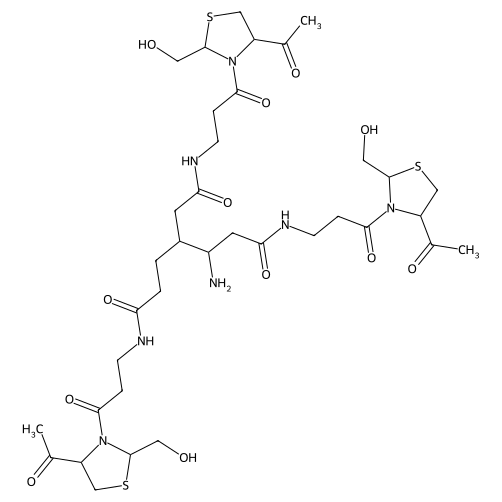 CC(=O)C1CSC(CO)N1C(=O)CCNC(=O)CCC(CC(=O)NCCC(=O)N1C(CO)SCC1C(C)=O)C(N)CC(=O)NCCC(=O)N1C(CO)SCC1C(C)=O